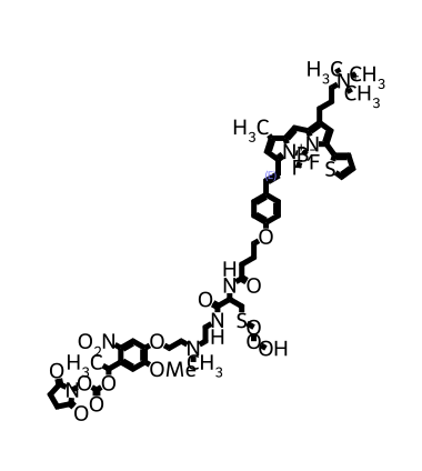 COc1cc(C(C)OC(=O)ON2C(=O)CCC2=O)c([N+](=O)[O-])cc1OCCN(C)CCNC(=O)C(CSOOO)NC(=O)CCCOc1ccc(/C=C/C2=[N+]3C(=Cc4c(CCC[N+](C)(C)C)cc(-c5cccs5)n4[B-]3(F)F)C(C)=C2)cc1